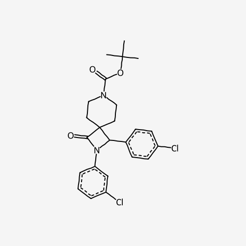 CC(C)(C)OC(=O)N1CCC2(CC1)C(=O)N(c1cccc(Cl)c1)C2c1ccc(Cl)cc1